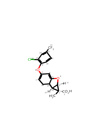 C[C@]1(C(=O)O)[C@@H]2OC3=CC(Oc4ccc(C(F)(F)F)cc4Cl)=CCC3[C@@H]21